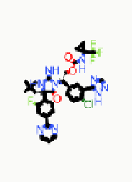 CC(C)(C)C[C@]1(c2ccc(-c3ncccn3)cc2F)NC(=N)N([C@H](COC(=O)NC2(C(F)(F)F)CC2)c2ccc(Cl)c(-c3ncn[nH]3)c2)C1=O